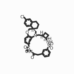 O=C1Cc2cccc(c2)S(=O)(=O)N[C@@H]2CC[C@H]2CN2C[C@@]3(CCCc4cc(Cl)ccc43)COc3ccc(cc32)S(=O)(=O)N1